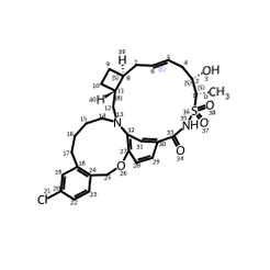 C[C@H]1[C@@H](O)C/C=C/C[C@@H]2CC[C@H]2CN2CCCCc3cc(Cl)ccc3COc3ccc(cc32)C(=O)NS1(=O)=O